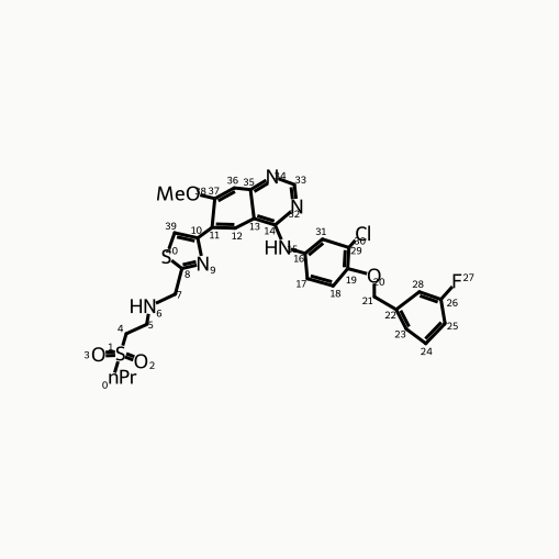 CCCS(=O)(=O)CCNCc1nc(-c2cc3c(Nc4ccc(OCc5cccc(F)c5)c(Cl)c4)ncnc3cc2OC)cs1